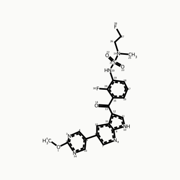 COc1ncc(-c2cnc3[nH]cc(C(=O)c4cccc(NS(=O)(=O)N(C)CCF)c4F)c3c2)cn1